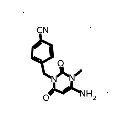 Cn1c(N)cc(=O)n(Cc2ccc(C#N)cc2)c1=O